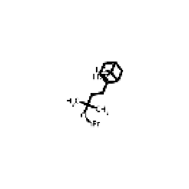 CCCOC(C)(C)CCC1=CCC2CC1C2(C)C